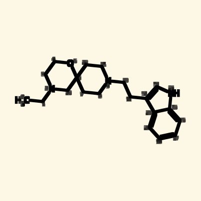 CCN1CCOC2(CCN(CCc3c[nH]c4ccccc34)CC2)C1